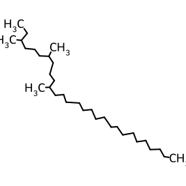 CCCCCCCCCCCCCCCCCCC(C)CCCC(C)CCCC(C)CC